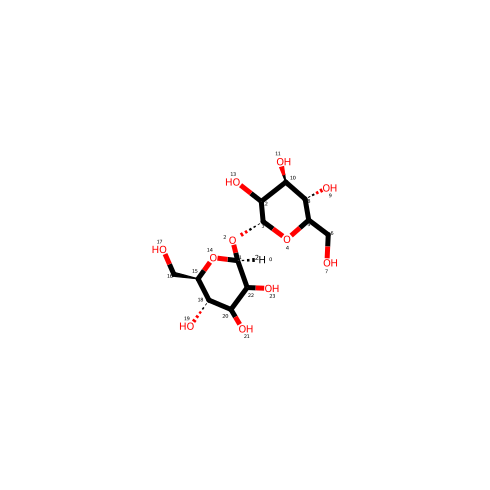 [2H][C@@]1(O[C@H]2OC(CO)[C@@H](O)[C@H](O)C2O)O[C@H](CO)[C@@H](O)C(O)C1O